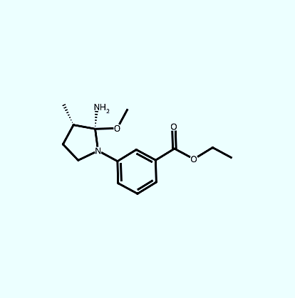 CCOC(=O)c1cccc(N2CC[C@H](C)[C@@]2(N)OC)c1